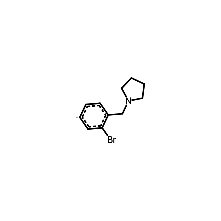 Brc1c[c]ccc1CN1CCCC1